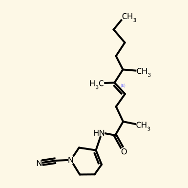 CCCCC(C)/C(C)=C/CC(C)C(=O)NC1=CCCN(C#N)C1